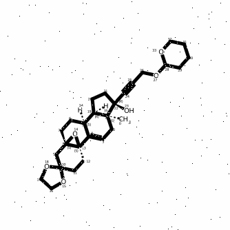 C[C@]12CC=C3[C@@H](CC[C@]45CC6(CC[C@]34O5)OCCO6)[C@H]1CC[C@]2(O)C#CCOC1CCCCO1